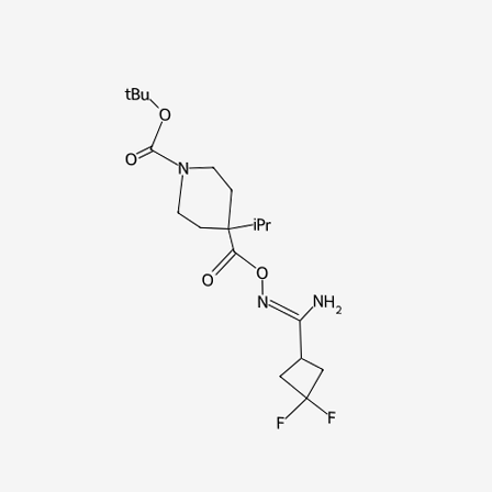 CC(C)C1(C(=O)O/N=C(\N)C2CC(F)(F)C2)CCN(C(=O)OC(C)(C)C)CC1